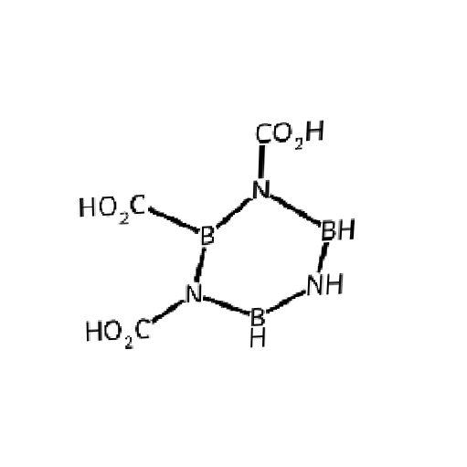 O=C(O)B1N(C(=O)O)BNBN1C(=O)O